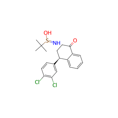 CC(C)(C)S(=N)O.O=C1CC[C@H](c2ccc(Cl)c(Cl)c2)c2ccccc21